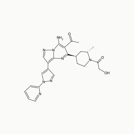 CC(=O)c1c([C@@H]2CCN(C(=O)CO)[C@@H](C)C2)nc2c(-c3cnn(-c4ccccn4)c3)cnn2c1N